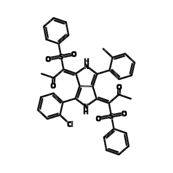 CC(=O)/C(=c1/[nH]c(-c2ccccc2Cl)c2/c(=C(\C(C)=O)S(=O)(=O)c3ccccc3)[nH]c(-c3ccccc3C)c12)S(=O)(=O)c1ccccc1